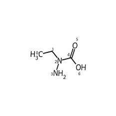 CCN(N)C(=O)O